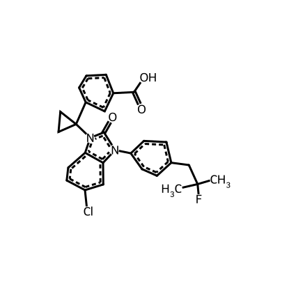 CC(C)(F)Cc1ccc(-n2c(=O)n(C3(c4cccc(C(=O)O)c4)CC3)c3ccc(Cl)cc32)cc1